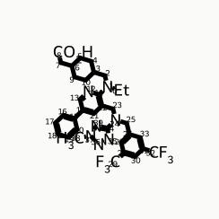 CCN(CC1CCC(CC(=O)O)CC1)c1ncc(-c2ccccc2)cc1CN(Cc1cc(C(F)(F)F)cc(C(F)(F)F)c1)c1nnn(C)n1